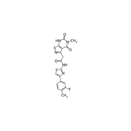 Cc1ccc(-c2csc(NC(=O)Cc3nsc4[nH]c(=O)n(C)c(=O)c34)n2)cc1F